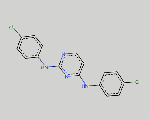 Clc1ccc(Nc2ccnc(Nc3ccc(Cl)cc3)n2)cc1